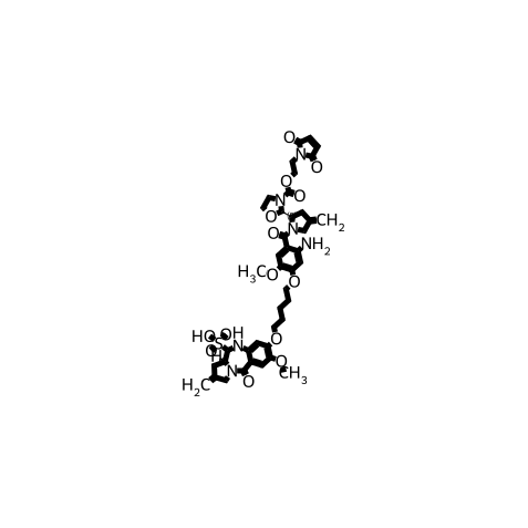 C=C1C[C@@H](C2OCCN2C(=O)OCCN2C(=O)C=CC2=O)N(C(=O)c2cc(OC)c(OCCCCCOc3cc4c(cc3OC)C(=O)N3CC(=C)C[C@H]3C(S(=O)(=O)O)N4)cc2N)C1